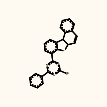 CC(C)c1nc(-c2ccccc2)nc(-c2cccc3c2SC2C=Cc4ccccc4C32)n1